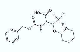 O=C(NC(C(=O)O)C(OC1CCCCO1)C(F)(F)F)OCc1ccccc1